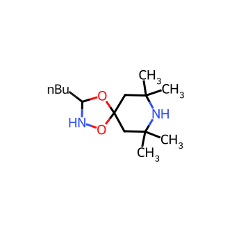 CCCCC1NOC2(CC(C)(C)NC(C)(C)C2)O1